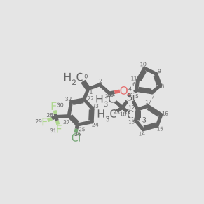 C=C(CCO[Si](c1ccccc1)(c1ccccc1)C(C)(C)C)c1ccc(Cl)c(C(F)(F)F)c1